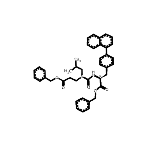 CC(C)CN(CCC(=O)OCc1ccccc1)C(=O)N[C@@H](Cc1ccc(-c2cccc3ccccc23)cc1)C(=O)OCc1ccccc1